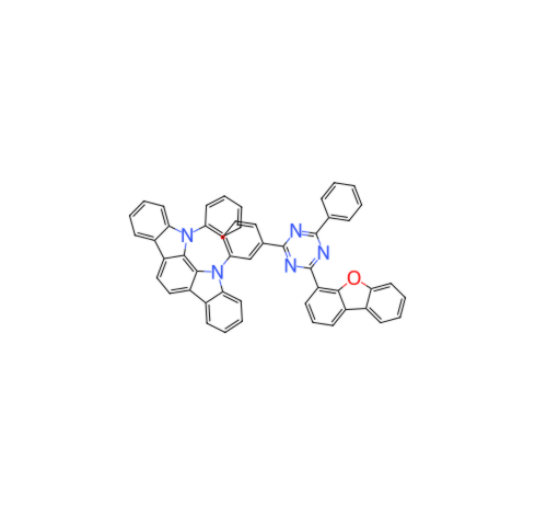 c1ccc(-c2nc(-c3cccc(-n4c5ccccc5c5ccc6c7ccccc7n(-c7ccccc7)c6c54)c3)nc(-c3cccc4c3oc3ccccc34)n2)cc1